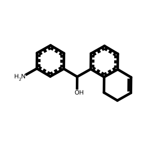 Nc1cccc(C(O)c2cccc3c2CCC=C3)c1